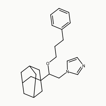 c1ccc(CCCOC(Cn2ccnc2)C23CC4CC(CC(C4)C2)C3)cc1